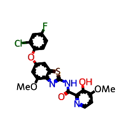 COc1ccnc(C(=O)Nc2nc3c(OC)cc(Oc4ccc(F)cc4Cl)cc3s2)c1O